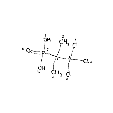 CC(C)(C(Cl)(Cl)Cl)P(=O)(O)O